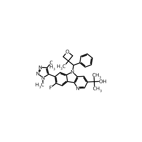 Cc1nnn(C)c1-c1cc2c(cc1F)c1ncc(C(C)(C)O)cc1n2C(c1ccccc1)C1(C)COC1